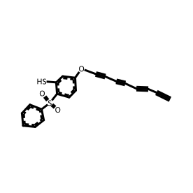 C#CC#CC#CC#COc1ccc(S(=O)(=O)c2ccccc2)c(S)c1